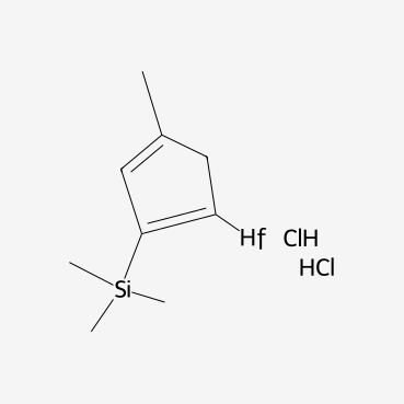 CC1=CC([Si](C)(C)C)=[C]([Hf])C1.Cl.Cl